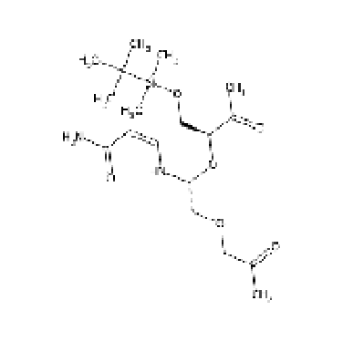 CC(=O)COC[C@H](N/C=C\C(N)=O)O[C@@H](CO[Si](C)(C)C(C)(C)C)C(C)=O